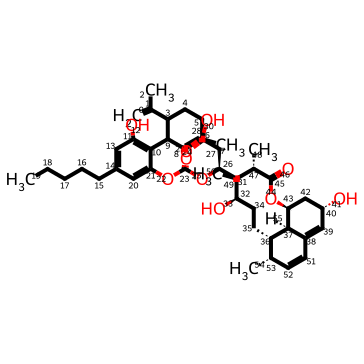 C=C(C)C1CCC(C)=CC1c1c(O)cc(CCCCC)cc1OC(=O)O[C@@H](CC(=O)O)C[C@H](O)CC[C@@H]1[C@@H]2C(=C[C@@H](O)C[C@@H]2OC(=O)[C@@H](C)CC)C=C[C@@H]1C